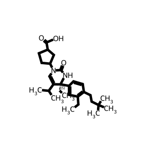 CCc1cc([C@]2(CC)NC(=O)N(C3CCC(C(=O)O)C3)C=C2C(C)C)ccc1CCC(C)(C)C